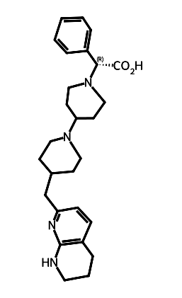 O=C(O)[C@@H](c1ccccc1)N1CCC(N2CCC(Cc3ccc4c(n3)NCCC4)CC2)CC1